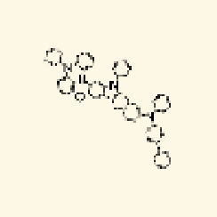 c1ccc(-c2ccc(N(c3ccccc3)c3ccc4cc5c6cc7c(cc6n(-c6ccccc6)c5cc4c3)B3c4ccccc4N(c4ccccc4)c4cccc(c43)O7)cc2)cc1